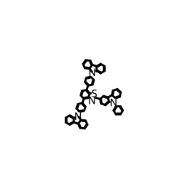 c1ccc(-n2c3ccccc3c3cc(-c4nc5c(-c6ccc(-n7c8ccccc8c8ccccc87)cc6)ccc(-c6ccc(-n7c8ccccc8c8ccccc87)cc6)c5s4)ccc32)cc1